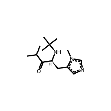 CC(C)C(=O)[C@H](Cc1cncn1C)NC(C)(C)C